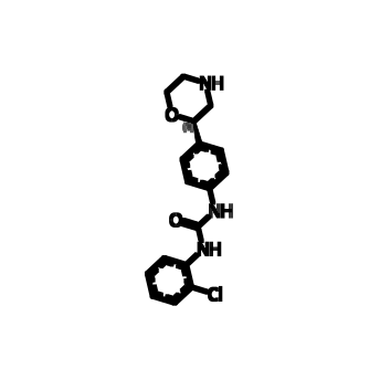 O=C(Nc1ccc([C@@H]2CNCCO2)cc1)Nc1ccccc1Cl